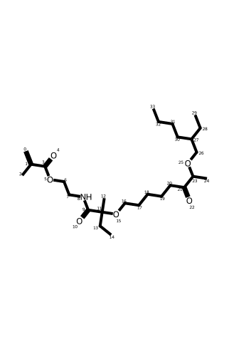 C=C(C)C(=O)OCCNC(=O)C(C)(CC)OCCCCCC(=O)C(C)OCC(CC)CCCC